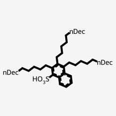 CCCCCCCCCCCCCCCc1c(CCCCCCCCCCCCCCC)c(S(=O)(=O)O)c2ccccc2c1CCCCCCCCCCCCCCC